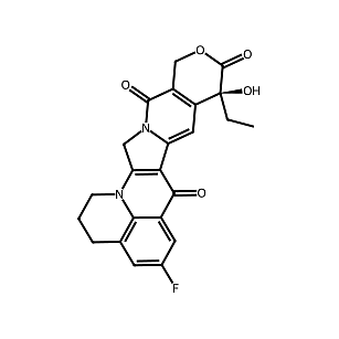 CC[C@@]1(O)C(=O)OCc2c1cc1n(c2=O)Cc2c-1c(=O)c1cc(F)cc3c1n2CCC3